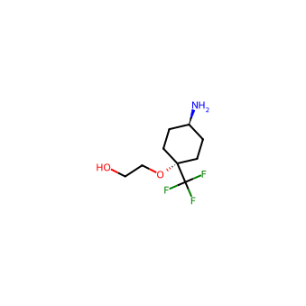 N[C@H]1CC[C@@](OCCO)(C(F)(F)F)CC1